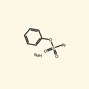 CC(C)S(=O)(=O)Oc1ccccc1.[NaH]